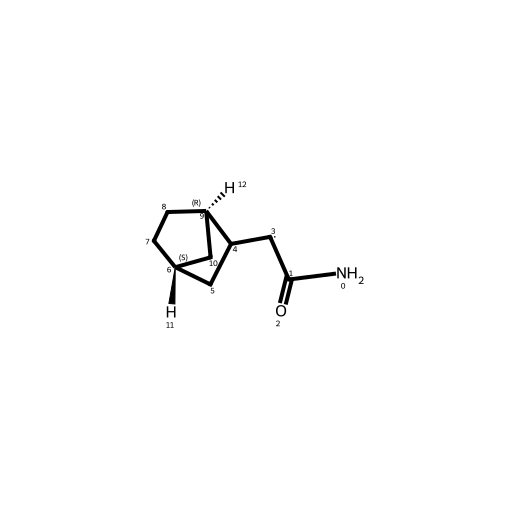 NC(=O)[CH]C1C[C@@H]2CC[C@@H]1C2